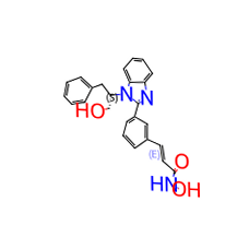 O=C(/C=C/c1cccc(-c2nc3ccccc3n2[C@H](CO)Cc2ccccc2)c1)NO